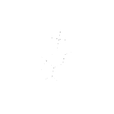 C[C](C)C(CC(C)CC(C)(C)C)C(C)(C)C